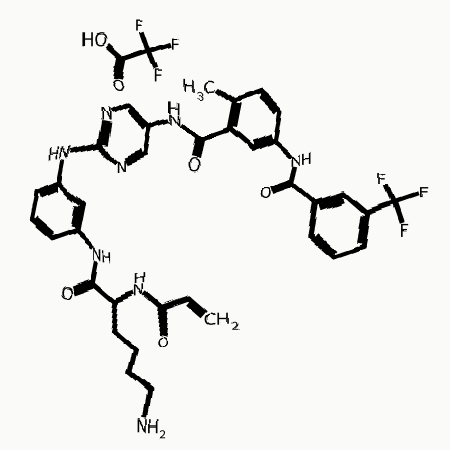 C=CC(=O)NC(CCCCN)C(=O)Nc1cccc(Nc2ncc(NC(=O)c3cc(NC(=O)c4cccc(C(F)(F)F)c4)ccc3C)cn2)c1.O=C(O)C(F)(F)F